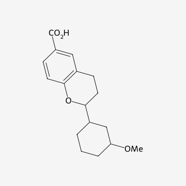 COC1CCCC(C2CCc3cc(C(=O)O)ccc3O2)C1